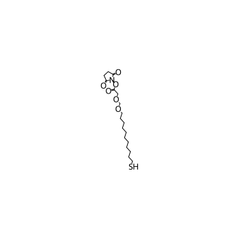 O=C(COCOCCCCCCCCCCCS)ON1C(=O)CCC1=O